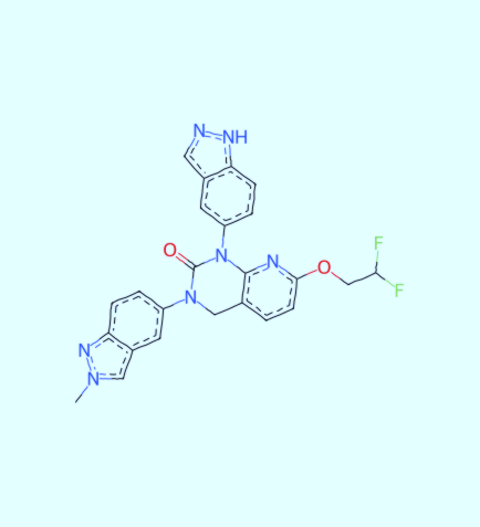 Cn1cc2cc(N3Cc4ccc(OCC(F)F)nc4N(c4ccc5[nH]ncc5c4)C3=O)ccc2n1